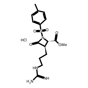 COC(=O)[C@@H]1[C@@H](CCCNC(=N)N)C(=O)N1S(=O)(=O)c1ccc(C)cc1.Cl